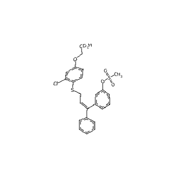 CS(=O)(=O)Oc1cccc(/C(=C\CSc2ccc(OCC(=O)O)cc2Cl)c2ccccc2)c1